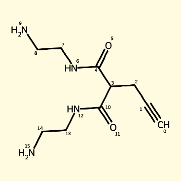 C#CCC(C(=O)NCCN)C(=O)NCCN